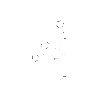 N=C(N)NCCC[C@@H]1N[C@H](CNC(=O)c2cc3ccccc3o2)CCN(CC(c2ccccc2)c2ccccc2)C1=O